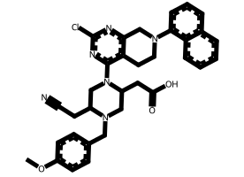 COc1ccc(CN2CC(CC(=O)O)N(c3nc(Cl)nc4c3CCN(c3cccc5ccccc35)C4)CC2CC#N)cc1